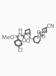 COC[C@H](NC(=O)[C@H]1CCCN1C(=O)[C@H]1CCCN(S(=O)(=O)N2CC(C#N)C2)C1)c1ccc(Cl)cc1